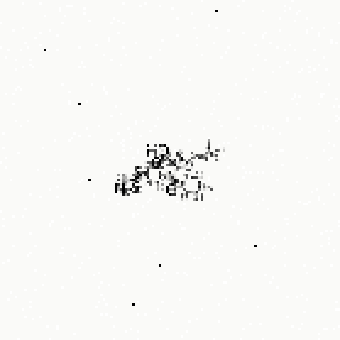 CC(C)(C)C#Cc1cc(N(C(=O)[C@H]2CC[C@H](C)CC2)[C@H]2CC[C@@H](Sc3cncs3)CC2)c(C(=O)O)s1